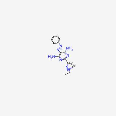 CCn1ccc(-c2nc(N)c(/N=N/c3ccccc3)c(N)n2)n1